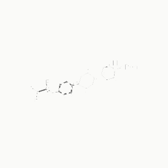 CCCCC[SiH]1CCC([C@H]2CC[C@H](c3ccc(OC(F)=C(F)F)cc3)CC2)CC1